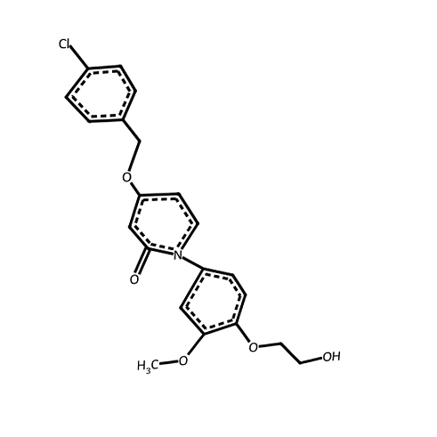 COc1cc(-n2ccc(OCc3ccc(Cl)cc3)cc2=O)ccc1OCCO